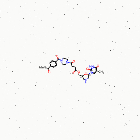 CNC(=O)c1ccc(C(=O)N2CCN(C(=O)CCC(=O)OC[C@@H]3CNC[C@H](n4cc(C)c(=O)[nH]c4=O)O3)CC2)cc1